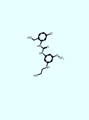 O=C(Nc1cc(NCCO)cc(OC(F)(F)F)c1)Nc1cc(Cl)ccc1CO